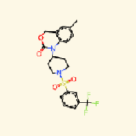 Cc1ccc2c(c1)COC(=O)N2C1CCN(S(=O)(=O)c2cccc(C(F)(F)F)c2)CC1